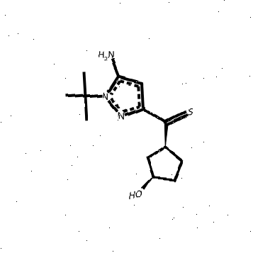 CC(C)(C)n1nc(C(=S)[C@H]2CC[C@@H](O)C2)cc1N